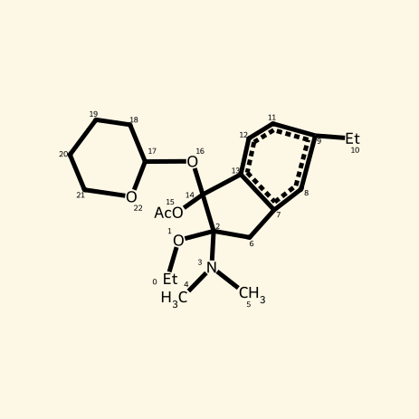 CCOC1(N(C)C)Cc2cc(CC)ccc2C1(OC(C)=O)OC1CCCCO1